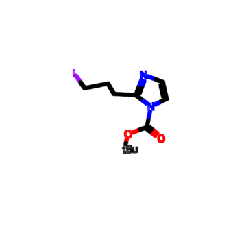 CC(C)(C)OC(=O)n1ccnc1CCCI